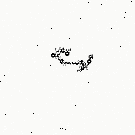 Cc1ncsc1-c1ccc(CNC(=O)[C@@H]2C[C@@H](O)CN2C(=O)[C@@H](NC(=O)CCCCCCCCC(=O)N2CCC(CNC(=O)C3CN(c4cc(-c5ccccc5O)nnc4N)CCN3c3ccccc3)CC2)C(C)(C)C)cc1